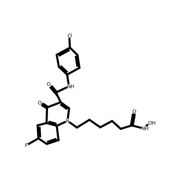 O=C(CCCCCn1cc(C(=O)Nc2ccc(Cl)cc2)c(=O)c2cc(F)ccc21)NO